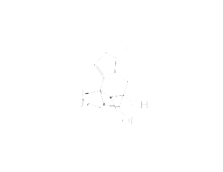 CNCC1(C)C2(C)CC(O)C1(O)CC1C2=CCC1C